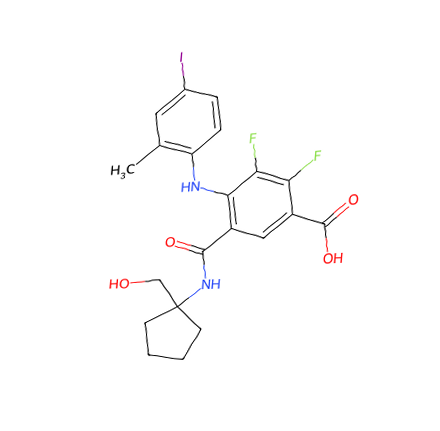 Cc1cc(I)ccc1Nc1c(C(=O)NC2(CO)CCCC2)cc(C(=O)O)c(F)c1F